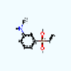 C=CS(=O)(=O)c1cccc([N]CC)c1